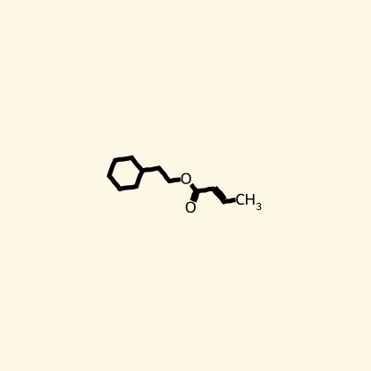 C/C=C/C(=O)OCCC1CCCCC1